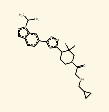 CC(C)n1ncc2ccc(-c3noc(C4CCN(C(=O)CNCC5CC5)CC4(F)F)n3)cc21